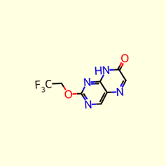 O=c1cnc2cnc(OCC(F)(F)F)nc2[nH]1